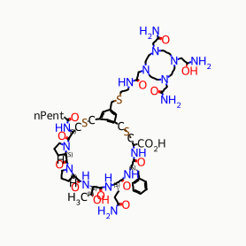 CCCCCC(=O)N[C@H]1CSCc2cc(CSCCNC(=O)CN3CCN(CC(N)=O)CCN(CC(N)O)CCN(CC(N)=O)CC3)cc(c2)CSCC(C(=O)O)NC(=O)[C@H](Cc2ccccc2)NC(=O)[C@H](CCC(N)=O)NC(=O)[C@H]([C@@H](C)O)NC(=O)[C@@H]2CCCN2C(=O)[C@@H]2CCCN2C1=O